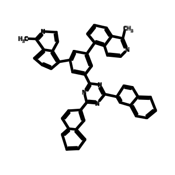 Cc1nccc2c(-c3cc(-c4nc(-c5ccc6ccccc6c5)nc(-c5ccc6ccccc6c5)n4)cc(-c4cccc5c(C)nccc45)c3)cccc12